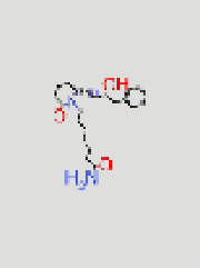 NC(=O)CCCCCCN1C(=O)CCC[C@@H]1/C=C/C(O)Cc1ccccc1